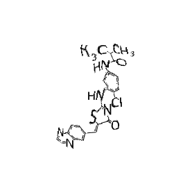 CC(C)C(=O)Nc1ccc(Cl)c(NC2=NC(=O)/C(=C/c3ccc4nccnc4c3)S2)c1